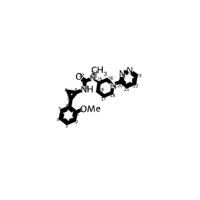 COc1ccccc1C1CC1NC(=O)N(C)[C@@H]1CCCN(c2cccnn2)C1